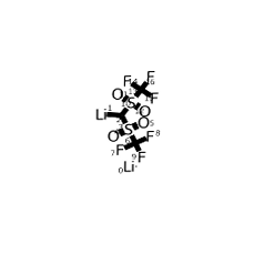 [Li].[Li][CH](S(=O)(=O)C(F)(F)F)S(=O)(=O)C(F)(F)F